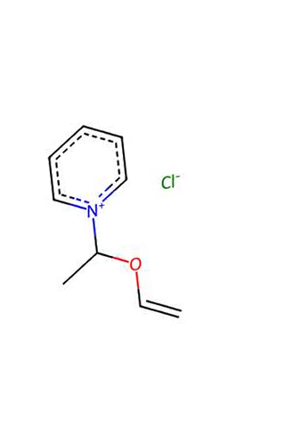 C=COC(C)[n+]1ccccc1.[Cl-]